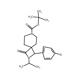 CC(C)N1C(=O)C2(CCN(C(=O)OC(C)(C)C)CC2)C1c1ccc(Cl)cc1